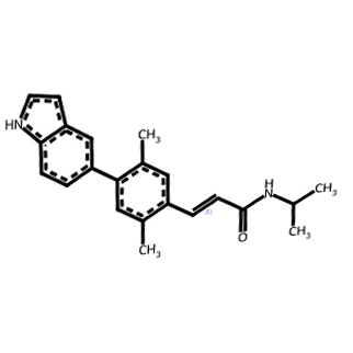 Cc1cc(-c2ccc3[nH]ccc3c2)c(C)cc1/C=C/C(=O)NC(C)C